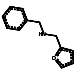 [c]1ccc(CNCc2ccccc2)o1